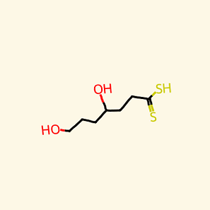 OCCCC(O)CCC(=S)S